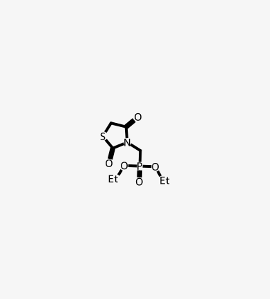 CCOP(=O)(CN1C(=O)CSC1=O)OCC